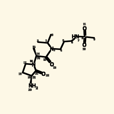 CC(C)N(CCCNS(C)(=O)=O)C(=O)[C@H](C)N1CC[C@H](N)C1=O